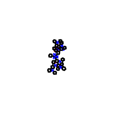 c1ccc(-c2nc(-c3ccc(-c4cnccc4-n4c5ccccc5c5cc6c7ccccc7n(-c7ccccc7)c6cc54)c(-n4c5ccccc5c5cc6c7ccccc7n(-c7ccccc7)c6cc54)c3)nc(-c3ccc(-c4cnccc4-n4c5ccccc5c5cc6c7ccccc7n(-c7ccccc7)c6cc54)c(-n4c5ccccc5c5cc6c7ccccc7n(-c7ccccc7)c6cc54)c3)n2)cc1